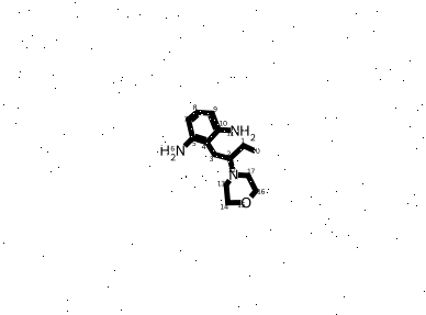 CCC(Cc1c(N)cccc1N)N1CCOCC1